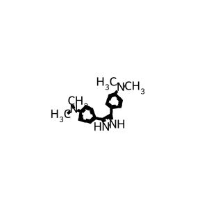 CN(C)c1ccc(-c2[nH][nH]c2-c2ccc(N(C)C)cc2)cc1